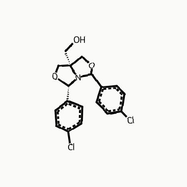 OC[C@]12COC(c3ccc(Cl)cc3)N1[C@H](c1ccc(Cl)cc1)OC2